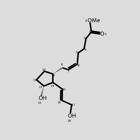 COC(=O)CCC/C=C\C[C@H]1CC[C@@H](O)C1/C=C/CO